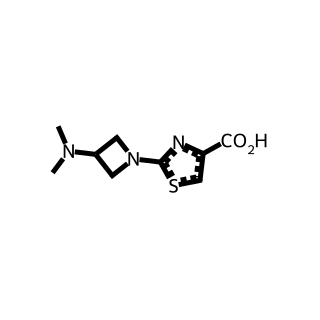 CN(C)C1CN(c2nc(C(=O)O)cs2)C1